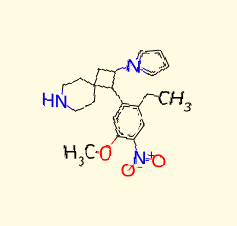 CCc1cc([N+](=O)[O-])c(OC)cc1C1C(n2cccc2)CC12CCNCC2